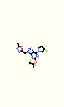 Cc1nnc(Cn2nnc3c(N4CCC(F)(F)C4)nc(O[C@@H](C)C(F)(F)F)nc32)o1